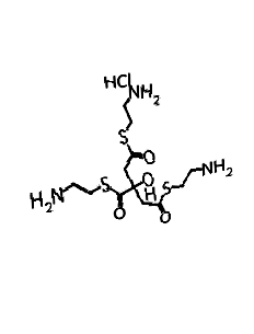 Cl.NCCSC(=O)CC(O)(CC(=O)SCCN)C(=O)SCCN